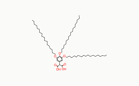 CCCCCCCCCCCCCCCCCCOc1cc(C(C(=O)O)C(=O)O)cc(OCCCCCCCCCCCCCCCCCC)c1OCCCCCCCCCCCCCCCCCC